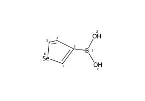 OB(O)c1cc[se]c1